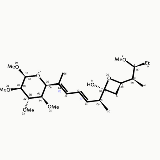 CC[C@H](OC)[C@@H](C)[C@H]1C[C@@](O)([C@@H](C)/C=C/C=C(\C)[C@@H]2O[C@H](OC)[C@H](OC)[C@@H](OC)[C@@H]2OC)O1